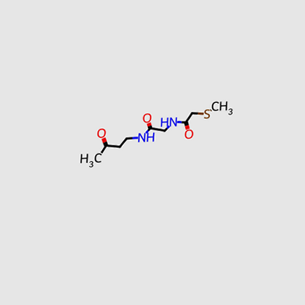 CSCC(=O)NCC(=O)NCCC(C)=O